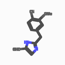 COc1cc(Cc2ncc(C=O)[nH]2)ccc1C#N